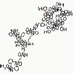 CC(=O)OCc1ccc(NC(=O)[C@H](CCCNC(N)=O)NC(=O)[C@@H](NC(=O)[C@H](CCCCNC(=O)CCC(=O)N2Cc3ccccc3-c3c(nnn3C)-c3ccccc32)NC(=O)CCCCCN2C(=O)CC(N3CCN(CC4OC5OC6C(CO)OC(OC7C(CO)OC(OC8C(O)C(O)C(OC9C(CO)OC(OC%10C(CO)OC(OC4C(O)C5O)C(O)C%10O)C(O)C9O)O[C@H]8CO)C(O)C7O)C(O)C6O)CC3)C2=O)C(C)C)cc1